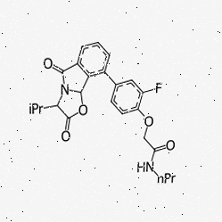 CCCNC(=O)COc1ccc(-c2cccc3c2C2OC(=O)C(C(C)C)N2C3=O)cc1F